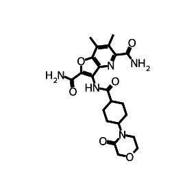 Cc1c(C(N)=O)nc2c(NC(=O)C3CCC(N4CCOCC4=O)CC3)c(C(N)=O)oc2c1C